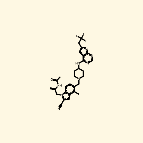 C=C(Cn1c(C#N)cc2c(C)c(CN3CCC(Nc4ncnc5sc(CC(F)(F)F)cc45)CC3)ccc21)NC(C)=O